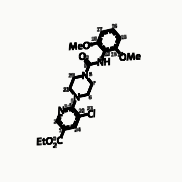 CCOC(=O)c1cnc(N2CCN(C(=O)Nc3c(OC)cccc3OC)CC2)c(Cl)c1